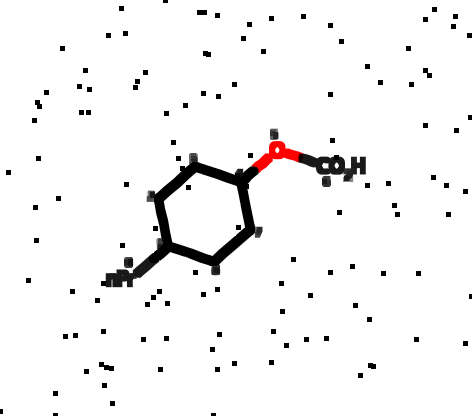 CCCC1CCC(OC(=O)O)CC1